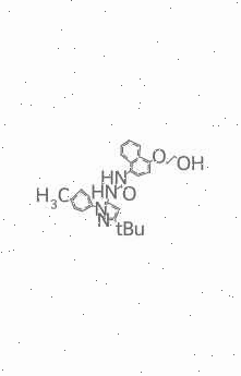 Cc1ccc(-n2nc(C(C)(C)C)cc2NC(=O)Nc2ccc(OCCO)c3ccccc23)cc1